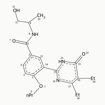 CCCOc1ccc(C(=O)NC(C)CO)cc1-c1nc(CC)c(CC)c(=O)[nH]1